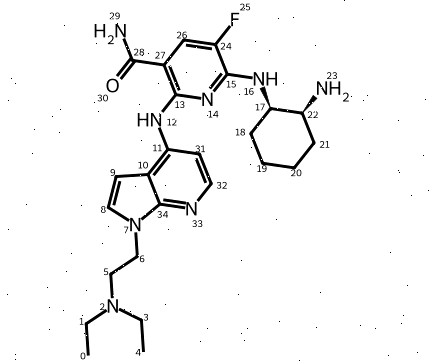 CCN(CC)CCn1ccc2c(Nc3nc(N[C@@H]4CCCC[C@@H]4N)c(F)cc3C(N)=O)ccnc21